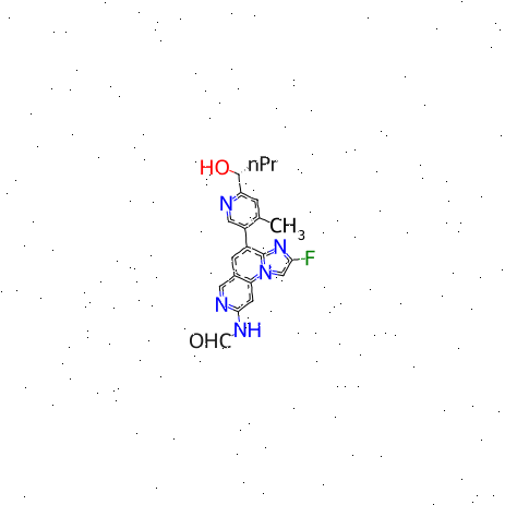 CCC[C@@H](O)c1cc(C)c(-c2cc3cnc(NC=O)cc3n3cc(F)nc23)cn1